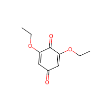 CCOC1=CC(=O)C=C(OCC)C1=O